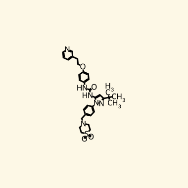 CC(C)(C)c1cc(NC(=O)Nc2ccc(OCCc3cccnc3)cc2)n(-c2ccc(CN3CCS(=O)(=O)CC3)cc2)n1